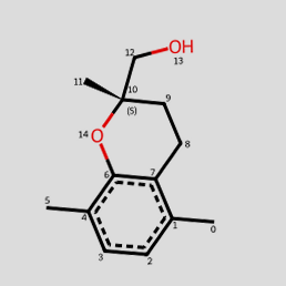 Cc1ccc(C)c2c1CC[C@@](C)(CO)O2